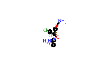 NCCCOc1ccc(-c2sc(C(=O)N3CCC(C(N)=O)(c4ccccc4)CC3)cc2-c2ccc(Cl)cc2Cl)cc1